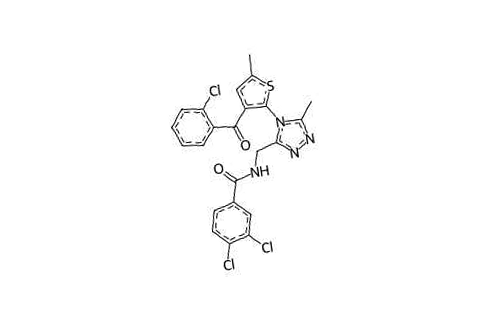 Cc1cc(C(=O)c2ccccc2Cl)c(-n2c(C)nnc2CNC(=O)c2ccc(Cl)c(Cl)c2)s1